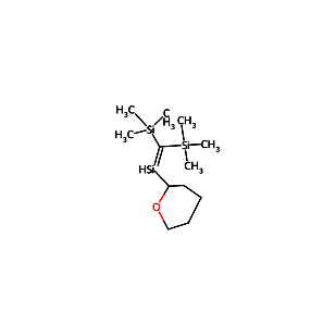 C[Si](C)(C)C(=[SiH]C1CCCCO1)[Si](C)(C)C